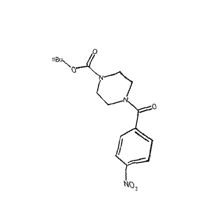 CCCCOC(=O)N1CCN(C(=O)c2ccc([N+](=O)[O-])cc2)CC1